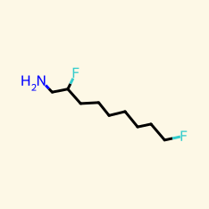 NCC(F)CCCCCCCF